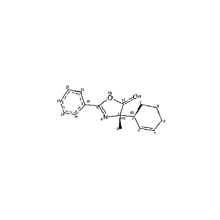 C[C@@]1([C@@H]2C=CCCC2)N=C(c2ccccc2)OC1=O